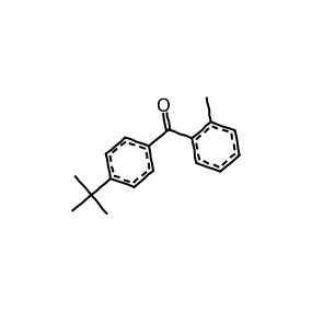 Cc1ccccc1C(=O)c1ccc(C(C)(C)C)cc1